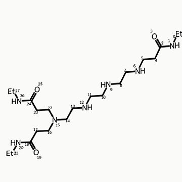 CCNC(=O)CCNCCNCCNCCN(CCC(=O)NCC)CCC(=O)NCC